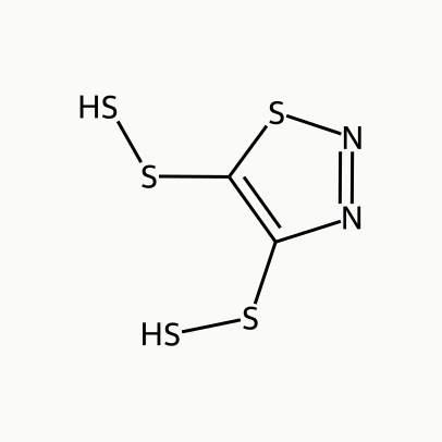 SSc1nnsc1SS